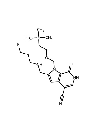 C[Si](C)(C)CCOCn1c(CNCCCF)cc2c(C#N)c[nH]c(=O)c21